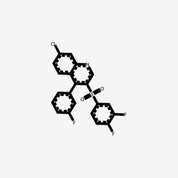 O=S(=O)(c1ccc(F)c(F)c1)c1cnc2cc(Cl)ccc2c1-c1cccc(F)c1